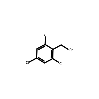 CC(C)[CH]c1c(Cl)cc(Cl)cc1Cl